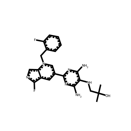 CC(C)(O)CNc1c(N)nc(-c2cc3c(F)ncc-3n(Cc3ccccc3F)c2)nc1N